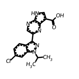 CC(C)n1nc(-c2cnc3[nH]cc(C(=O)O)c3n2)c2ccc(Cl)cc21